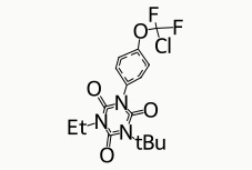 CCn1c(=O)n(-c2ccc(OC(F)(F)Cl)cc2)c(=O)n(C(C)(C)C)c1=O